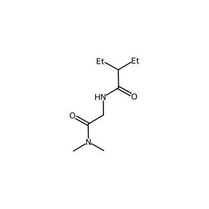 CCC(CC)C(=O)NCC(=O)N(C)C